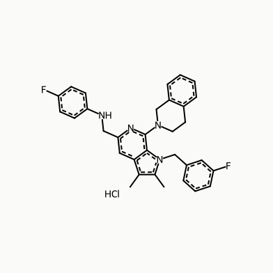 Cc1c(C)n(Cc2cccc(F)c2)c2c(N3CCc4ccccc4C3)nc(CNc3ccc(F)cc3)cc12.Cl